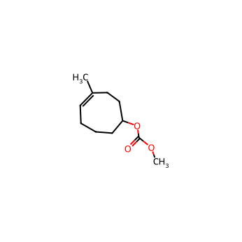 COC(=O)OC1CCCC=C(C)CC1